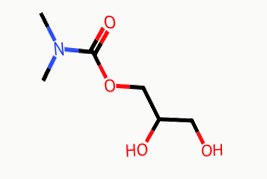 CN(C)C(=O)OCC(O)CO